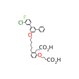 O=C(O)CCCOc1cccc(CCCCCCOc2cc(-c3ccccc3)cc(-c3ccc(F)c(Cl)c3)c2)c1CCC(=O)O